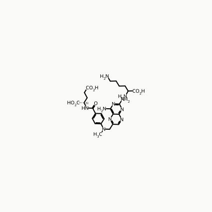 CN(Cc1cnc2nc(N)nc(N)c2n1)c1ccc(C(=O)N[C@@H](CCC(=O)O)C(=O)O)cc1.NCCCCC(N)C(=O)O